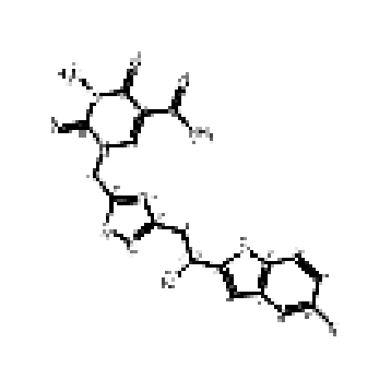 Cn1c(=O)c(C(N)=O)cn(Cc2nc(C[C@H](O)c3cc4cc(Cl)ccc4o3)no2)c1=O